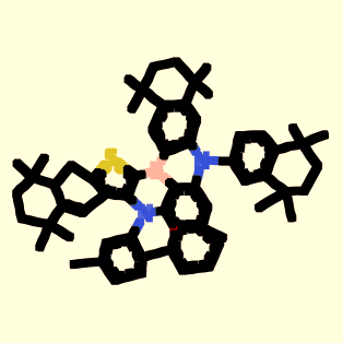 Cc1ccc(-c2ccccc2)c(N2c3cc(C)cc4c3B(c3cc5c(cc3N4c3ccc4c(c3)C(C)(C)CCC4(C)C)C(C)(C)CCC5(C)C)c3sc4c(c32)C=C2C(C4)C(C)(C)CCC2(C)C)c1